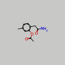 CC(=O)Oc1cc(C)ccc1CC(N)=O